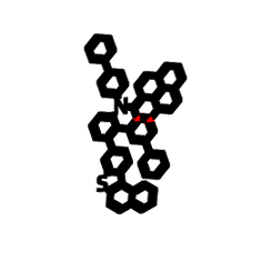 c1ccc(-c2ccc(N(c3cccc(-c4ccc5c(c4)sc4ccc6ccccc6c45)c3-c3cccc(-c4ccccc4)c3)c3ccc4ccc5cccc6ccc3c4c56)cc2)cc1